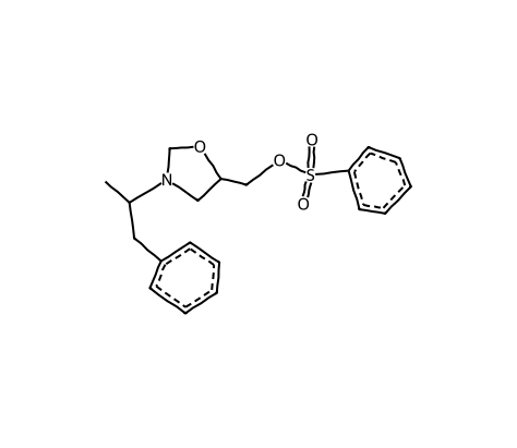 CC(Cc1ccccc1)N1COC(COS(=O)(=O)c2ccccc2)C1